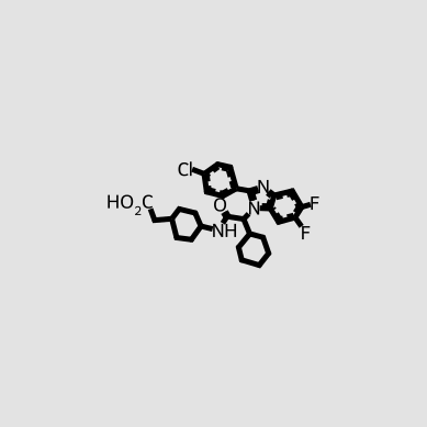 O=C(O)CC1CCC(NC(=O)C(C2CCCCC2)n2c(-c3ccc(Cl)cc3)nc3cc(F)c(F)cc32)CC1